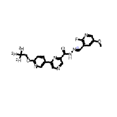 [2H]C([2H])([2H])COc1ccc(-c2cncc(C(=O)N/N=C/c3cc(OC)cnc3F)n2)cn1